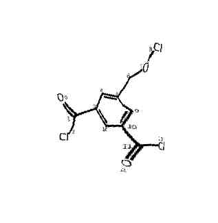 O=C(Cl)c1cc(COCl)cc(C(=O)Cl)c1